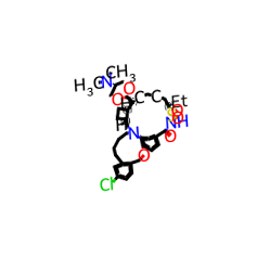 CC[C@@H]1CCCC[C@H]([C@H]2OC[C@@H](N(C)C)CO2)[C@@H]2CC[C@H]2CN2CCCCc3cc(Cl)ccc3COc3ccc(cc32)C(=O)NS1(=O)=O